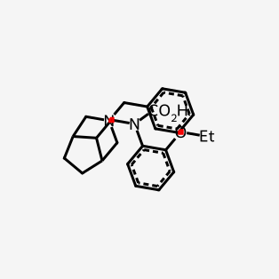 CCOc1ccccc1N(CC1C2CCC1CN(Cc1ccccc1)C2)C(=O)O